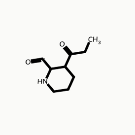 CCC(=O)C1CCCNC1[C]=O